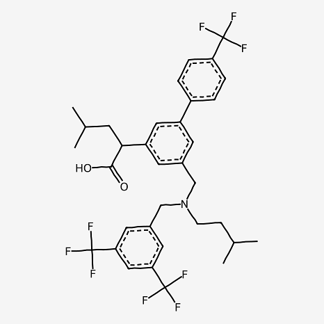 CC(C)CCN(Cc1cc(-c2ccc(C(F)(F)F)cc2)cc(C(CC(C)C)C(=O)O)c1)Cc1cc(C(F)(F)F)cc(C(F)(F)F)c1